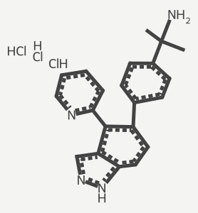 CC(C)(N)c1ccc(-c2ccc3[nH]ncc3c2-c2ccccn2)cc1.Cl.Cl.Cl